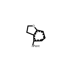 [CH2]CCCCc1cccc2c1CCO2